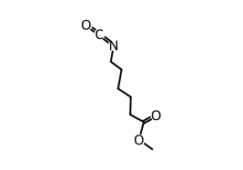 COC(=O)CCCCCN=C=O